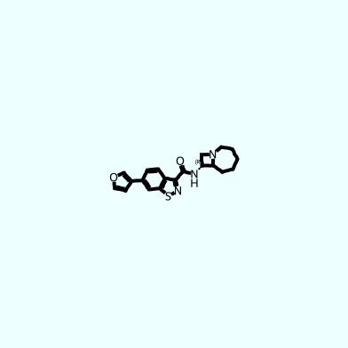 O=C(N[C@@H]1CN2CCCCCC12)c1nsc2cc(-c3ccoc3)ccc12